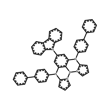 c1ccc(-c2ccc(N3c4cc(-n5c6ccccc6c6ccccc65)cc5c4B(n4cccc43)n3cccc3N5c3ccc(-c4ccccc4)cc3)cc2)cc1